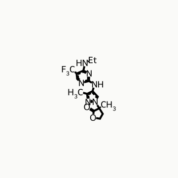 CCNc1nc(Nc2cn([C@]3(C)CCOC3=O)nc2C)ncc1C(F)(F)F